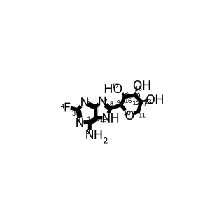 Nc1nc(F)nc2nc(C3OC[C@@H](O)[C@@H](O)[C@@H]3O)[nH]c12